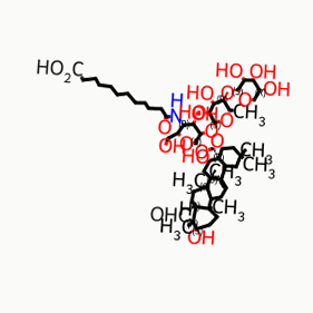 CC1O[C@@H](OC2C(O)[C@@H](NC(=O)CCCCCCCCCCC(=O)O)C(CO)O[C@H]2OC(=O)[C@]23CCC(C)(C)CC2C2=CCC4C5(C)CC[C@H](O)[C@](C)(C=O)[C@@H]5CC[C@]4(C)[C@]2(C)CC3O)C(O)C(O)[C@H]1O[C@@H]1OC[C@@H](O)C(O)C1O